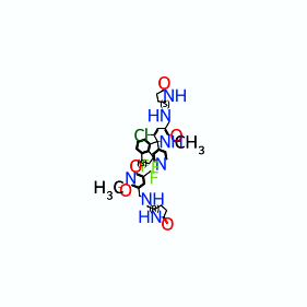 COC1=C(CNC[C@@H]2CCC(=O)N2)C=C(Cl)C(c2ccncc2)(c2cccc3c2CC[C@@H]3Oc2nc(OC)c(CNC[C@H]3CCC(=O)N3)cc2C(F)(F)F)N1